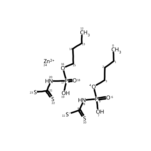 CCCCOP(=O)(O)NC(=S)[S-].CCCCOP(=O)(O)NC(=S)[S-].[Zn+2]